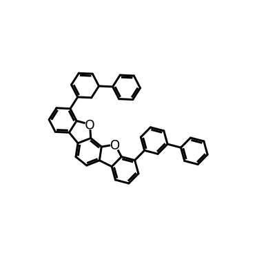 C1=CC(c2ccccc2)CC(c2cccc3c2oc2c3ccc3c4cccc(-c5cccc(-c6ccccc6)c5)c4oc32)=C1